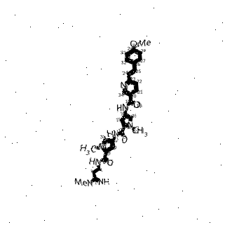 CNC(=N)CCNC(=O)c1cc(NC(=O)c2cc(NC(=O)c3ccc(/C=C/c4ccc(OC)cc4)nc3)cn2C)cn1C